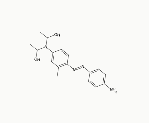 Cc1cc(N(C(C)O)C(C)O)ccc1/N=N/c1ccc(N)cc1